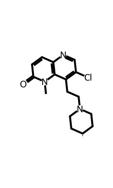 Cn1c(=O)ccc2ncc(Cl)c(CCN3CC[CH]CC3)c21